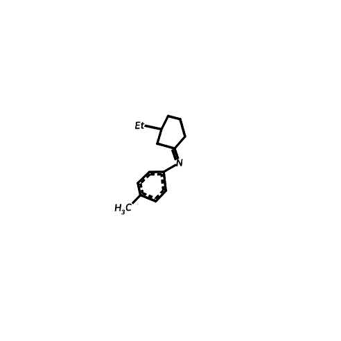 CCC1CCCC(=Nc2ccc(C)cc2)C1